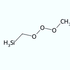 COOOC[SiH3]